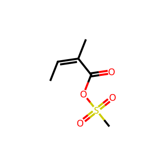 CC=C(C)C(=O)OS(C)(=O)=O